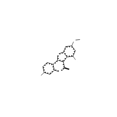 COc1cc(O)c2c(c1)oc1c3ccc(O)cc3oc(=O)c12